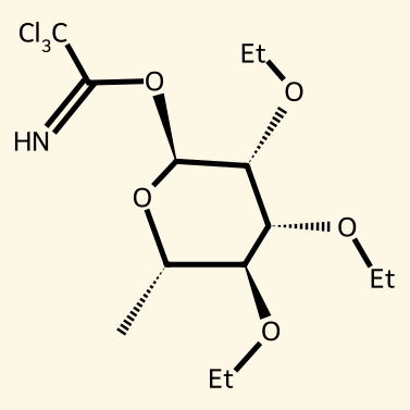 CCO[C@@H]1[C@@H](OCC)[C@H](C)O[C@@H](OC(=N)C(Cl)(Cl)Cl)[C@@H]1OCC